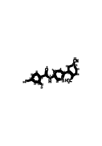 CC1=C(c2cnc(NC(=O)c3ccc(F)cc3F)cn2)CN(C#N)CC1